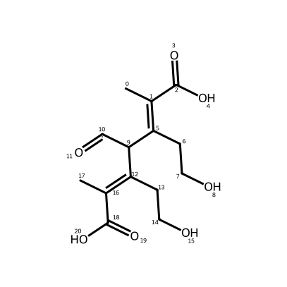 CC(C(=O)O)=C(CCO)C([C]=O)C(CCO)=C(C)C(=O)O